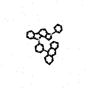 c1ccc(-n2ccc3c2ccc2c4ccccc4n(-c4cccc(-c5c6ccccc6cc6ccccc56)c4)c23)cc1